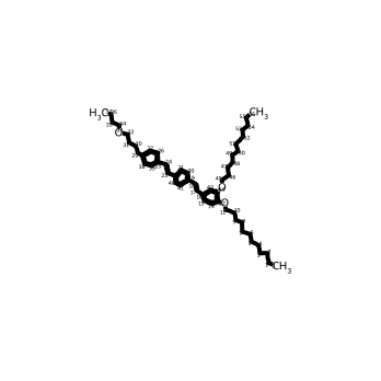 CCCCCCCCCCCCOc1ccc(C=Cc2ccc(C=Cc3ccc(CCCCOCCCC)cc3)cc2)cc1OCCCCCCCCCCCC